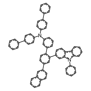 c1ccc(-c2ccc(N(c3ccc(-c4ccccc4)cc3)c3cccc(-c4ccc(-c5ccc6ccccc6c5)cc4-c4ccc5c6ccccc6n(-c6ccccc6)c5c4)c3)cc2)cc1